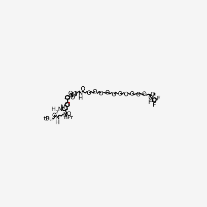 CCCN(CCCNC(=O)CC(C)(C)C)C(=O)C1=Cc2ccc(C3=CC(S(=O)(=O)N4CC(CNC(=O)CCOCCOCCOCCOCCOCCOCCOCCOCCOCCOCCC(=O)Oc5c(F)c(F)cc(F)c5F)C4)=CCC3)cc2N=C(N)C1